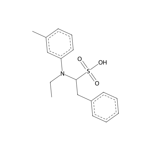 CCN(c1cccc(C)c1)C(Cc1ccccc1)S(=O)(=O)O